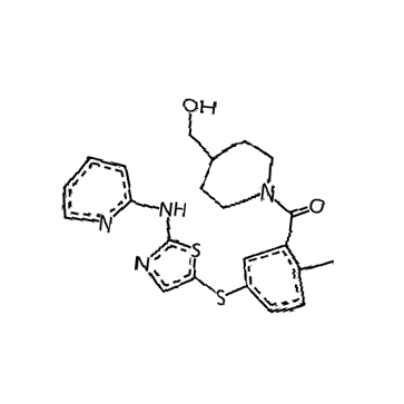 Cc1ccc(Sc2cnc(Nc3ccccn3)s2)cc1C(=O)N1CCC(CO)CC1